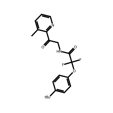 Cc1cccnc1C(=O)CNC(=O)C(F)(F)Oc1ccc(C(C)(C)C)cc1